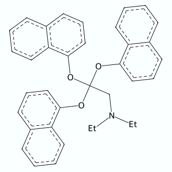 CCN(CC)CC(Oc1cccc2ccccc12)(Oc1cccc2ccccc12)Oc1cccc2ccccc12